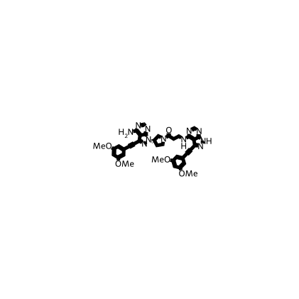 COc1cc(C#Cc2n[nH]c3ncnc(NCCC(=O)N4CC[C@H](n5nc(C#Cc6cc(OC)cc(OC)c6)c6c(N)ncnc65)C4)c23)cc(OC)c1